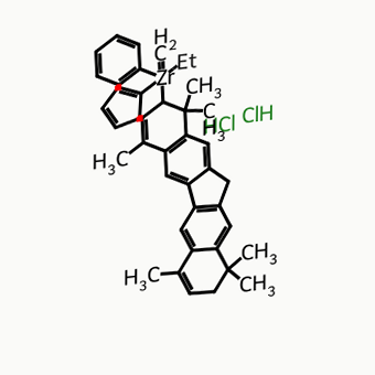 Cl.Cl.[CH2]=[Zr]([CH2]C)([C]1=CC=CC1)([c]1ccccc1)[CH]1C=C(C)c2cc3c(cc2C1(C)C)Cc1cc2c(cc1-3)C(C)=CCC2(C)C